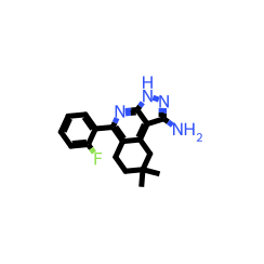 CC1(C)CCc2c(-c3ccccc3F)nc3[nH]nc(N)c3c2C1